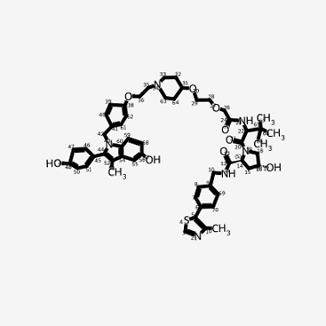 Cc1ncsc1-c1ccc(CNC(=O)[C@@H]2C[C@@H](O)CN2C(=O)C(NC(=O)COCCOC2CCN(CCOc3ccc(Cn4c(-c5ccc(O)cc5)c(C)c5cc(O)ccc54)cc3)CC2)C(C)(C)C)cc1